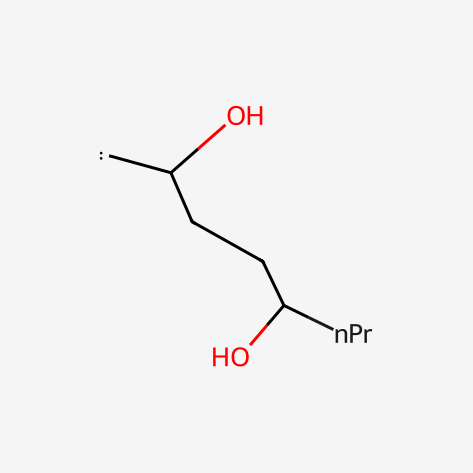 [CH]C(O)CCC(O)CCC